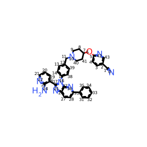 N#Cc1ccc(OC2CCN(Cc3ccc(-n4c(-c5cccnc5N)nc5ccc(-c6ccccc6)nc54)cc3)CC2)nc1